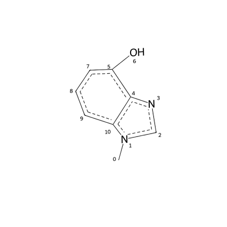 Cn1cnc2c(O)cccc21